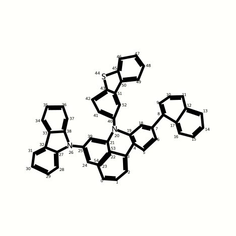 c1ccc(-c2ccc(-c3cccc4ccccc34)cc2N(c2cccc(-n3c4ccccc4c4ccccc43)c2)c2ccc3sc4ccccc4c3c2)cc1